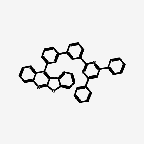 c1ccc(-c2cc(-c3ccccc3)nc(-c3cccc(-c4cccc(-c5c6ccccc6nc6oc7ccccc7c56)c4)c3)n2)cc1